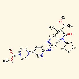 C=C(OCC)c1c(C)c2cnc(Nc3ccc(N4CCN(C(=O)OC(C)(C)C)CC4)cn3)cc2n(C2CCCC2)c1=O